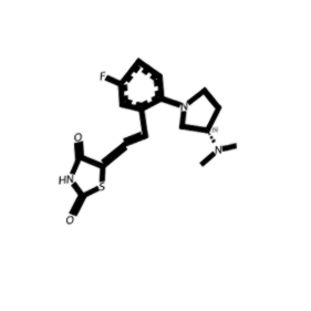 CN(C)[C@H]1CCN(c2ccc(F)cc2C=C=C2SC(=O)NC2=O)C1